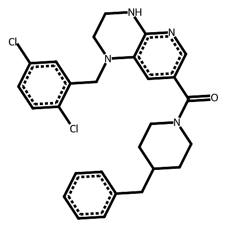 O=C(c1cnc2c(c1)N(Cc1cc(Cl)ccc1Cl)CCN2)N1CCC(Cc2ccccc2)CC1